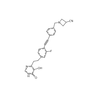 N#CC1CN(Cc2ccc(C#Cc3ccc(CCc4nc[nH]c(=O)c4O)cc3F)cc2)C1